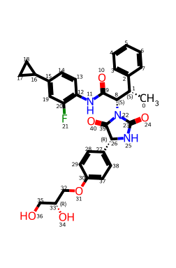 C[C@@H](c1ccccc1)[C@@H](C(=O)Nc1ccc(C2CC2)cc1F)N1C(=O)N[C@H](c2ccc(OC[C@H](O)CO)cc2)C1=O